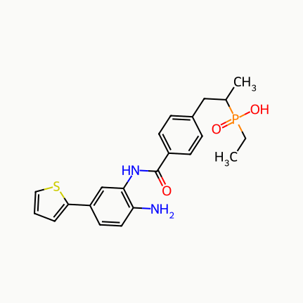 CCP(=O)(O)C(C)Cc1ccc(C(=O)Nc2cc(-c3cccs3)ccc2N)cc1